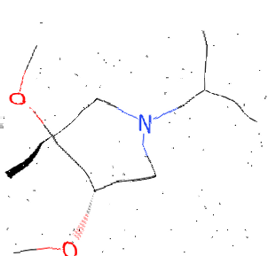 CO[C@H]1CN(C(C)C)C[C@@]1(C)OC